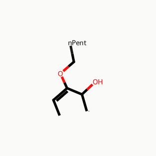 [CH2]C(O)C(=CC)OCCCCCC